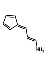 NC=CC=C1C=CC=C1